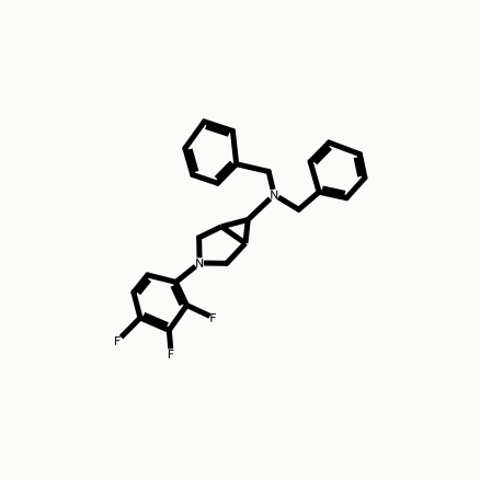 Fc1ccc(N2CC3C(C2)C3N(Cc2ccccc2)Cc2ccccc2)c(F)c1F